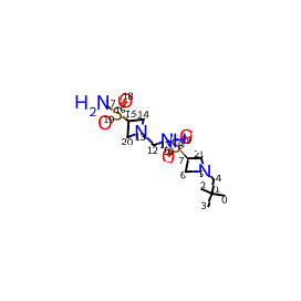 CC(C)(C)CN1CC(S(=O)(=O)NCN2CC(S(N)(=O)=O)C2)C1